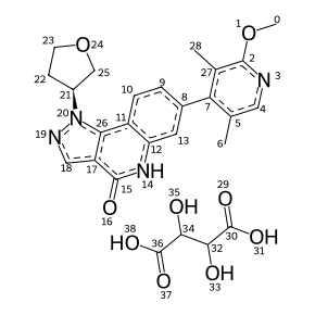 COc1ncc(C)c(-c2ccc3c(c2)[nH]c(=O)c2cnn([C@H]4CCOC4)c23)c1C.O=C(O)C(O)C(O)C(=O)O